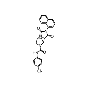 N#Cc1ccc(NC(=O)N2CC3CC2C2C(=O)N(c4cccc5ccccc45)C(=O)N32)cc1